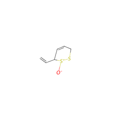 C=CC1C=CCS[S+]1[O-]